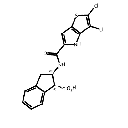 O=C(N[C@@H]1Cc2ccccc2[C@H]1C(=O)O)c1cc2sc(Cl)c(Cl)c2[nH]1